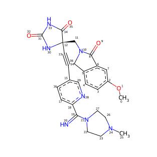 COc1ccc2c(c1)C(=O)N(C[C@@]1(C#Cc3ccc(C(=N)N4CCN(C)CC4)nc3)NC(=O)NC1=O)C2